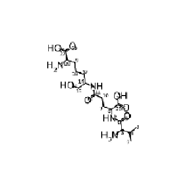 CC(C)C(N)C(=O)NC(CCC(=O)NC(CO)CCCC(N)C(=O)O)C(=O)O